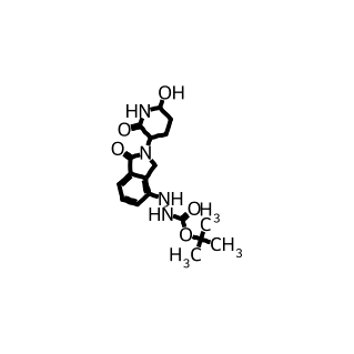 CC(C)(C)OC(=O)NNc1cccc2c1CN(C1CCC(O)NC1=O)C2=O